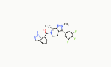 C[C@H]1c2nn(C)c(-c3cc(F)c(F)c(F)c3)c2CCN1C(=O)c1cccc2cn[nH]c12